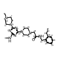 CNc1nc(N2CCN(C)CC2)nc(N2CCN(CC(=O)NCc3ccccc3CF)CC2)n1